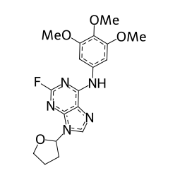 COc1cc(Nc2nc(F)nc3c2ncn3C2CCCO2)cc(OC)c1OC